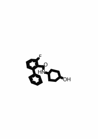 O=C(NC1CCC(O)CC1)c1c(F)cccc1-c1ccccc1